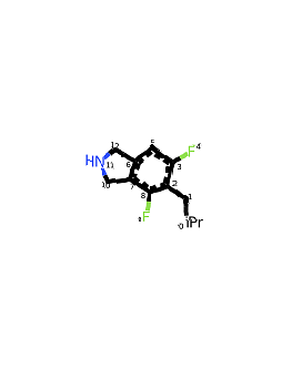 CC(C)Cc1c(F)cc2c(c1F)CNC2